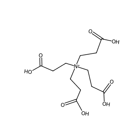 O=C(O)CC[N+](CCC(=O)O)(CCC(=O)O)CCC(=O)O